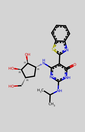 CC(C)Nc1nc(N[C@@H]2C[C@H](CO)[C@@H](O)[C@H]2O)c(-c2nc3ccccc3s2)c(=O)[nH]1